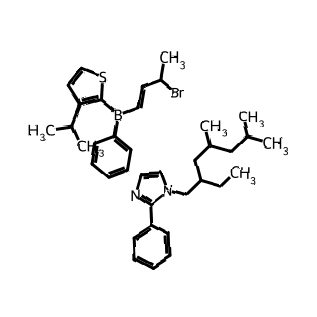 CC(Br)C=CB(c1ccccc1)c1sccc1C(C)C.CCC(CC(C)CC(C)C)Cn1ccnc1-c1ccccc1